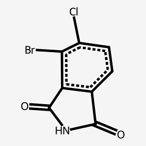 O=C1NC(=O)c2c1ccc(Cl)c2Br